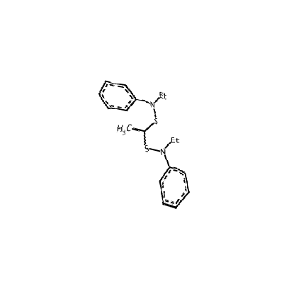 CCN(SC(C)SN(CC)c1ccccc1)c1ccccc1